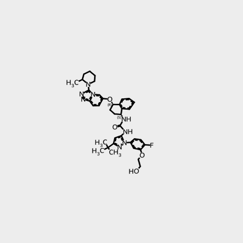 CC1CCCCN1c1nnc2ccc(O[C@@H]3CC[C@H](NC(=O)Nc4cc(C(C)(C)C)nn4-c4ccc(F)c(OCCO)c4)c4ccccc43)cn12